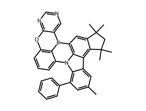 Cc1cc(-c2ccccc2)c2c(c1)c1c3c(cc4c1n2-c1cccc2c1B4c1cncnc1O2)C(C)(C)CC3(C)C